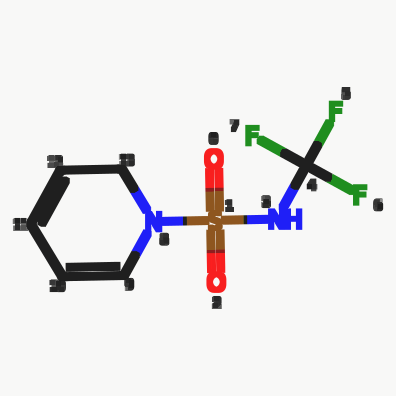 O=S(=O)(NC(F)(F)F)N1C=CC=CC1